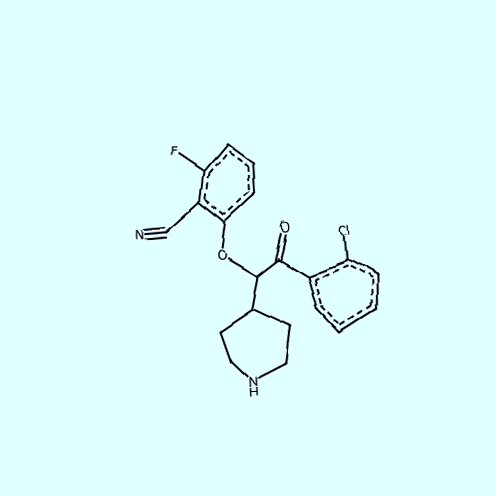 N#Cc1c(F)cccc1OC(C(=O)c1ccccc1Cl)C1CCNCC1